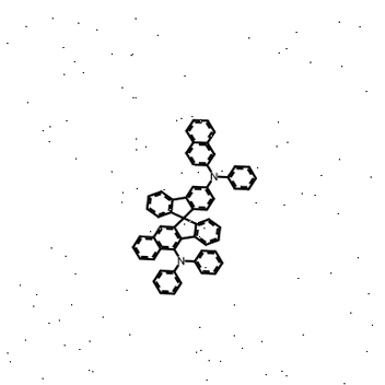 c1ccc(N(c2ccc3c(c2)-c2ccccc2C32c3ccccc3-c3c2cc2ccccc2c3N(c2ccccc2)c2ccccc2)c2ccc3ccccc3c2)cc1